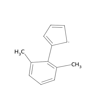 Cc1cccc(C)c1C1=CC=C[CH]1